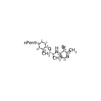 CCCCCc1ccc(OCC(C)Nc2ncnc(C)c2Br)c(C)c1